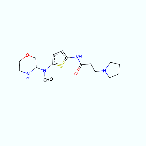 O=CN(c1ccc(NC(=O)CCN2CCCC2)s1)C1COCCN1